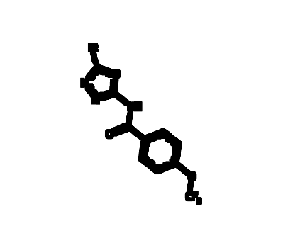 CCc1nnc(NC(=O)c2ccc(OC(F)(F)F)cc2)o1